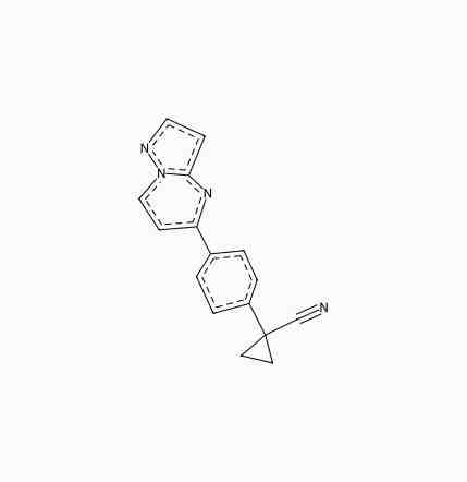 N#CC1(c2ccc(-c3ccn4nccc4n3)cc2)CC1